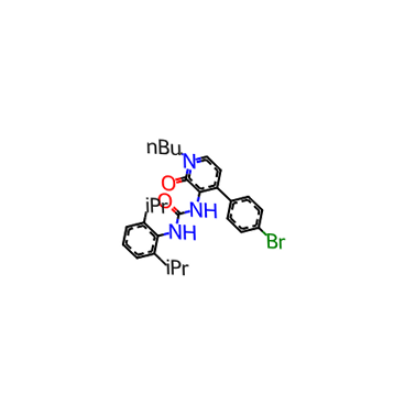 CCCCn1ccc(-c2ccc(Br)cc2)c(NC(=O)Nc2c(C(C)C)cccc2C(C)C)c1=O